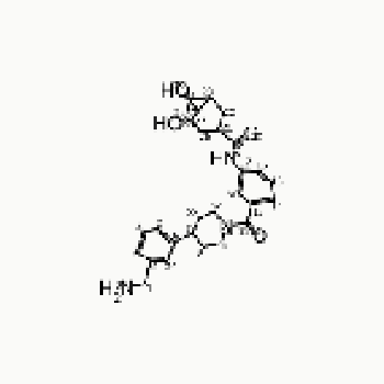 NCc1cccc(C2CCN(C(=O)c3cccc(NC(=O)C4CC5CCC4C(O)C5O)c3)CC2)c1